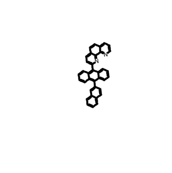 c1ccc2cc(-c3c4ccccc4c(-c4ccc5ccc6cccnc6c5n4)c4ccccc34)ccc2c1